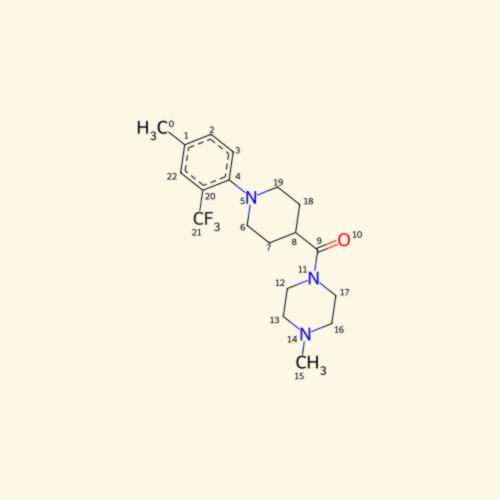 Cc1ccc(N2CCC(C(=O)N3CCN(C)CC3)CC2)c(C(F)(F)F)c1